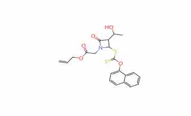 C=CCOC(=O)CN1C(=O)C(C(C)O)C1SC(=S)Oc1cccc2ccccc12